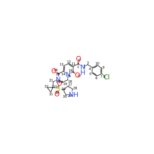 O=C(NCc1ccc(Cl)cc1)c1ccc2n(c1=O)CCN(CC1(S(=O)(=O)C3CCNC3)CC1)C2=O